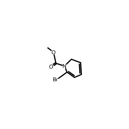 COC(=O)N1CC=CC=C1Br